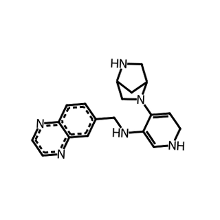 C1=C(NCc2ccc3nccnc3c2)C(N2CC3CC2CN3)=CCN1